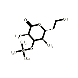 C[C@H]1C(=O)O[C@H](CCO)[C@@H](C)C1O[Si](C)(C)C(C)(C)C